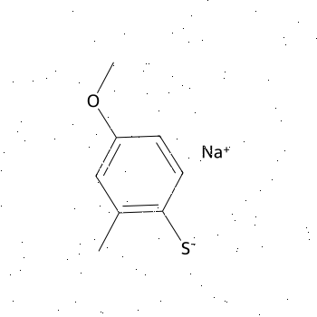 COc1ccc([S-])c(C)c1.[Na+]